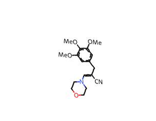 COc1cc(CC(C#N)=CN2CCOCC2)cc(OC)c1OC